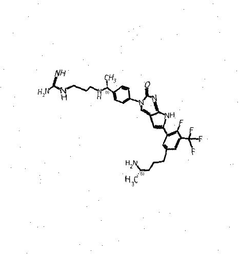 C[C@H](N)CCCc1cc(-c2cc3cn(-c4ccc([C@H](C)NCCCNC(=N)N)cc4)c(=O)nc3[nH]2)c(F)c(C(F)(F)F)c1